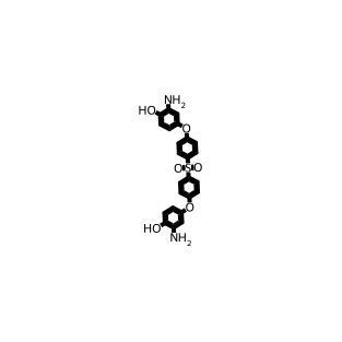 Nc1cc(Oc2ccc(S(=O)(=O)c3ccc(Oc4ccc(O)c(N)c4)cc3)cc2)ccc1O